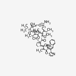 CC[C@H](C)[C@@H]([C@@H](CC(=O)N1CCC[C@H]1[C@H](OC)[C@@H](C)C(=O)N[C@@H](Cc1ccccc1)c1nccs1)OC)N(C)C(=O)[C@@H](NC(=O)[C@H](C(C)C)N(C)CCOCCN)C(C)C